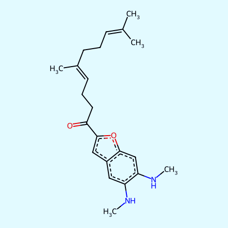 CNc1cc2cc(C(=O)CC/C=C(\C)CCC=C(C)C)oc2cc1NC